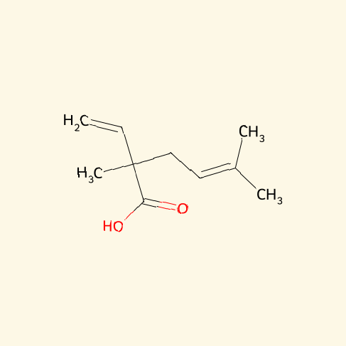 C=CC(C)(CC=C(C)C)C(=O)O